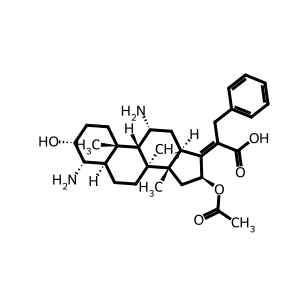 CC(=O)O[C@H]1C[C@@]2(C)[C@@H](C[C@@H](N)[C@H]3[C@@]4(C)CC[C@@H](O)[C@@H](N)[C@@H]4CC[C@@]32C)/C1=C(\Cc1ccccc1)C(=O)O